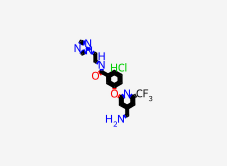 Cl.NCc1cc(Oc2cccc(C(=O)NCCn3cncn3)c2)nc(C(F)(F)F)c1